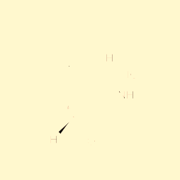 Cl.FC1(F)CC[C@H]2OCCN[C@@H]21